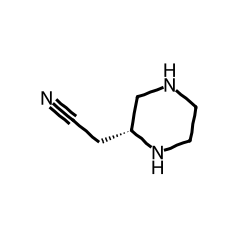 N#CC[C@@H]1CNCCN1